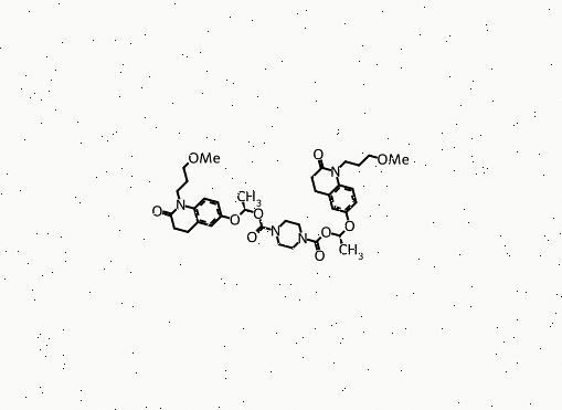 COCCCN1C(=O)CCc2cc(O[C@@H](C)OC(=O)N3CCN(C(=O)O[C@H](C)Oc4ccc5c(c4)CCC(=O)N5CCCOC)CC3)ccc21